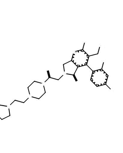 Cc1nc2c(c(-c3ccc(Cl)cc3Cl)c1CN)C(=O)N(CC(=O)N1CCN(CCN3CCCC3)CC1)C2